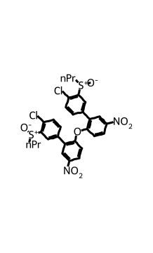 CCC[S+]([O-])c1cc(-c2cc([N+](=O)[O-])ccc2Oc2ccc([N+](=O)[O-])cc2-c2ccc(Cl)c([S+]([O-])CCC)c2)ccc1Cl